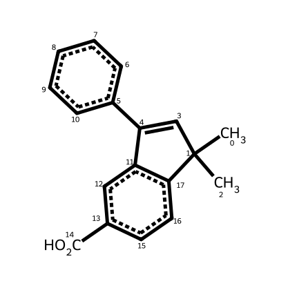 CC1(C)C=C(c2ccccc2)c2cc(C(=O)O)ccc21